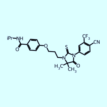 CC(C)NC(=O)c1ccc(OCCCN2C(=S)N(c3ccc(C#N)c(C(F)(F)F)c3)C(=O)C2(C)C)cc1